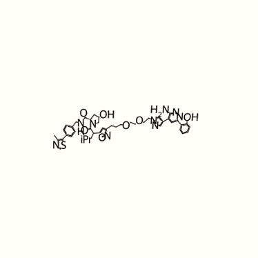 Cc1ncsc1-c1ccc(CNC(=O)[C@H]2C[C@@H](O)CN2C(=O)C(c2cc(CCCOCCOCCn3cc(-c4cc(-c5ccccc5O)nnc4N)cn3)no2)C(C)C)cc1